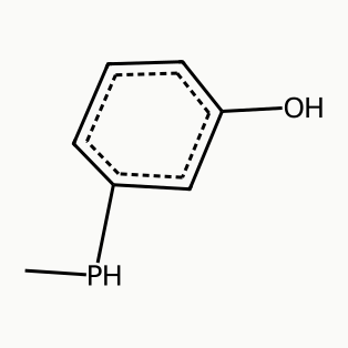 CPc1cccc(O)c1